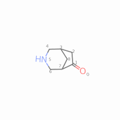 O=C1CC2CNCC1C2